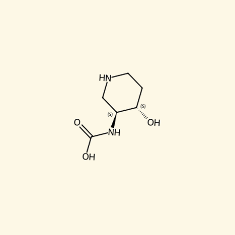 O=C(O)N[C@H]1CNCC[C@@H]1O